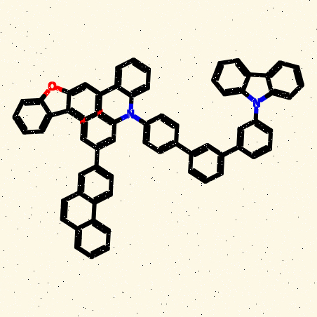 c1cc(-c2ccc(N(c3cccc(-c4ccc5c(ccc6ccccc65)c4)c3)c3ccccc3-c3ccc4c(c3)oc3ccccc34)cc2)cc(-c2cccc(-n3c4ccccc4c4ccccc43)c2)c1